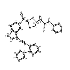 O=C(Nc1ccccc1)N[C@H]1CCN(C(=O)c2ccc3[nH]nc(C#Cc4ccccc4-c4ccccc4)c3c2)C1